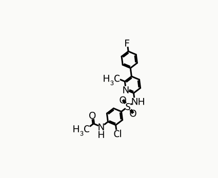 CC(=O)Nc1ccc(S(=O)(=O)Nc2ccc(-c3ccc(F)cc3)c(C)n2)cc1Cl